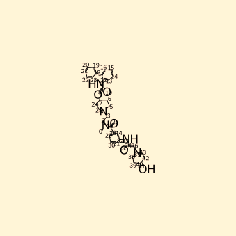 CN(CCN1CCC(OC(=O)Nc2ccccc2-c2ccccc2)CC1)C(=O)c1cccc(NC(=O)CN2CCC(O)CC2)c1